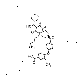 CCCCCN1C(=O)[C@@H](C(O)C2CCCCC2)NC(=O)C12CCN(Cc1ccc(Oc3ccc(C(=O)O)cc3OC)cc1)CC2.Cl